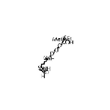 CCC(O)P(=S)(OC)OCCOCCOCCOCCNC(=O)CCCCC1SCC2NC(=O)NC21